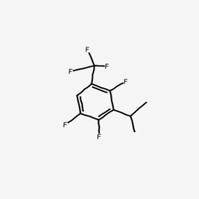 CC(C)c1c(F)c(F)cc(C(F)(F)F)c1F